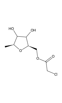 C[C@@H]1O[C@H](COC(=O)CCl)C(O)C1O